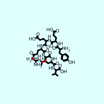 CCC(C)C(NC(=O)C(CCC(=O)O)NC(=O)C(CCC(=O)O)NC(=O)C(CCC(=O)O)NC(=O)C(N)Cc1ccc(O)cc1)C(=O)NC(CCCNC(N)N)C(=O)NC(C(=O)O)C(C)C